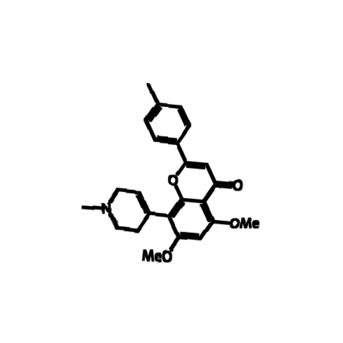 COc1cc(OC)c2c(=O)cc(-c3ccc(C)cc3)oc2c1C1=CCN(C)CC1